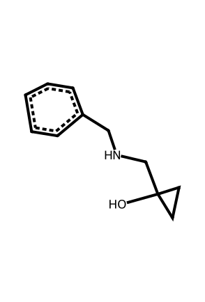 OC1(CNCc2ccccc2)CC1